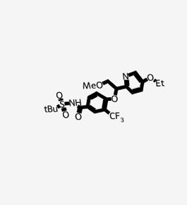 CCOc1ccc(C(COC)Oc2ccc(C(=O)NS(=O)(=O)C(C)(C)C)cc2C(F)(F)F)nc1